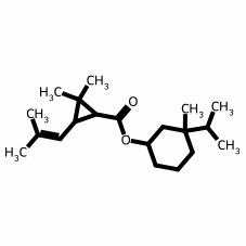 CC(C)=CC1C(C(=O)OC2CCCC(C)(C(C)C)C2)C1(C)C